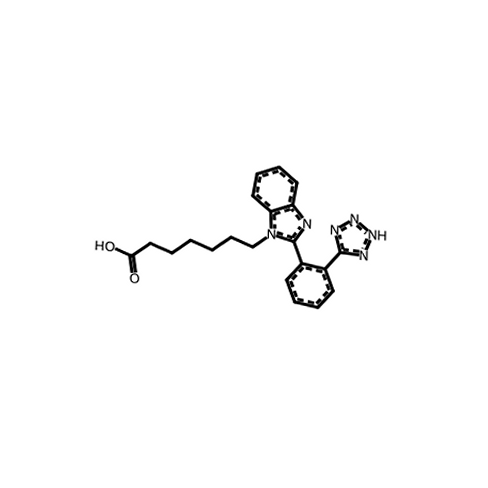 O=C(O)CCCCCCn1c(-c2ccccc2-c2nn[nH]n2)nc2ccccc21